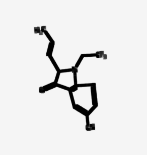 CC=CC1C(=O)c2cc(C#N)ccc2N1CC(F)(F)F